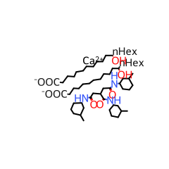 CC1CCCC(NC(=O)CC(CC(=O)NC2CCCC(C)C2)C(=O)NC2CCCC(C)C2)C1.CCCCCCC(O)CCCCCCCCCCC(=O)[O-].CCCCCCC(O)CCCCCCCCCCC(=O)[O-].[Ca+2]